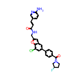 Nc1ccc(C=CC(=O)NCc2cc3cc(-c4ccc(C(=O)N5CC[C@@H](F)C5)cc4)cc(Cl)c3o2)cn1